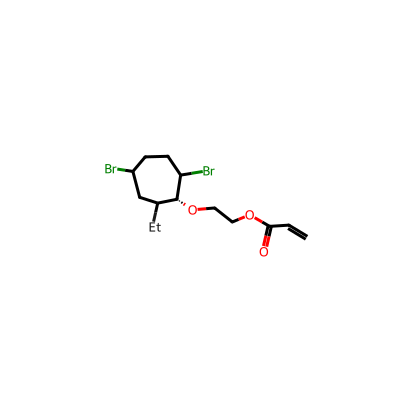 C=CC(=O)OCCO[C@H]1C(Br)CCC(Br)CC1CC